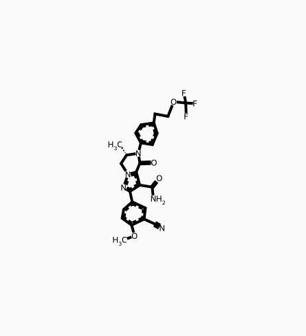 COc1ccc(-c2nn3c(c2C(N)=O)C(=O)N(c2ccc(CCOC(F)(F)F)cc2)[C@@H](C)C3)cc1C#N